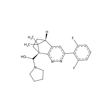 CC1(C)[C@@H]2CC[C@@]1(C(O)N1CCCC1)c1nnc(-c3c(F)cccc3F)cc12